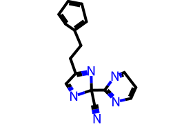 N#CC1(c2ncccn2)N=CC(CCc2ccccc2)=N1